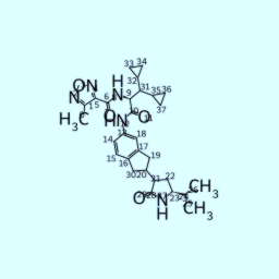 Cc1nonc1C(=O)N[C@H](C(=O)Nc1ccc2c(c1)CC(C1C[C@@H](C(C)C)NC1=O)C2)C(C1CC1)C1CC1